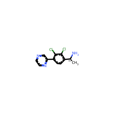 C[C@H](N)c1ccc(-c2cnccn2)c(Cl)c1Cl